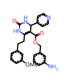 COc1cccc(CCC2=C(C(=O)OCc3cccc(N)c3)C(c3ccncc3)NC(=O)N2)c1